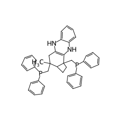 CC1(CP(c2ccccc2)c2ccccc2)CC2=C(Nc3ccccc3N2)C2(CP(c3ccccc3)c3ccccc3)CCC12